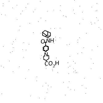 O=C(NC1C2CC3CC(C2)CC1C3)c1ccc(N2CCC(C(=O)O)CC2)cc1